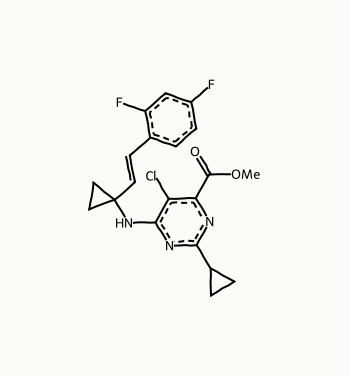 COC(=O)c1nc(C2CC2)nc(NC2(/C=C/c3ccc(F)cc3F)CC2)c1Cl